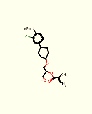 C=C(C)C(=O)OC(CO)COC1CCC(c2ccc(CCCCC)c(Cl)c2)CC1